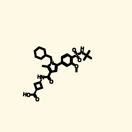 COc1cc(-c2cc(C(=O)N[C@H]3C[C@H](C(=O)O)C3)c(C)n2CC2CCCCC2)ccc1S(=O)(=O)NC(C)(C)C